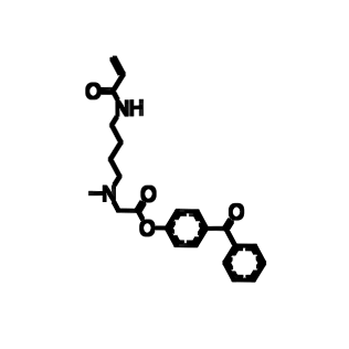 C=CC(=O)NCCCCN(C)CC(=O)Oc1ccc(C(=O)c2ccccc2)cc1